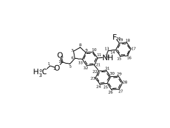 CCOC(=O)CC1CCc2cc(NCc3ccccc3F)c(-c3ccc4ccccc4c3)cc21